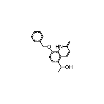 C=C1C=Cc2c(C(C)O)ccc(OCc3ccccc3)c2N1